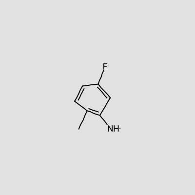 Cc1ccc(F)cc1[NH]